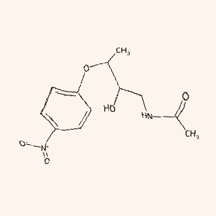 CC(=O)NCC(O)C(C)Oc1ccc([N+](=O)[O-])cc1